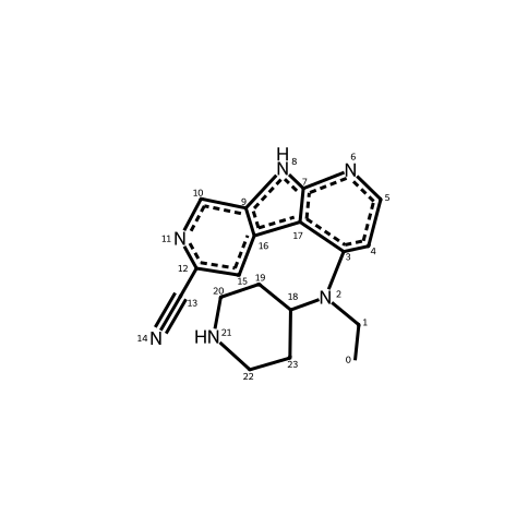 CCN(c1ccnc2[nH]c3cnc(C#N)cc3c12)C1CCNCC1